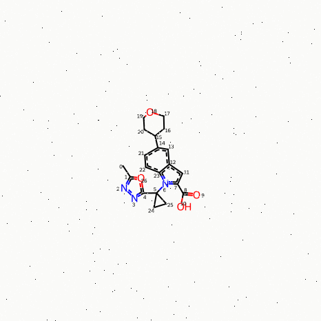 Cc1nnc(C2(n3c(C(=O)O)cc4cc(C5CCOCC5)ccc43)CC2)o1